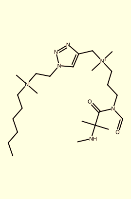 CCCCCC[N+](C)(C)CCn1cc(C[N+](C)(C)CCCN(C=O)C(=O)C(C)(C)NC)nn1